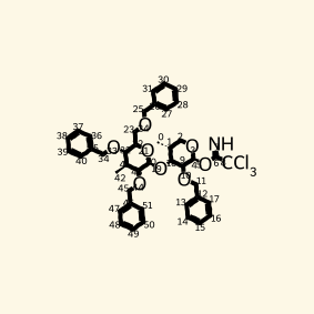 C[C@@H]1CO[C@@H](OC(=N)C(Cl)(Cl)Cl)C(OCc2ccccc2)[C@H]1O[C@@H]1OC(COCc2ccccc2)[C@H](OCc2ccccc2)[C@H](C)C1OCc1ccccc1